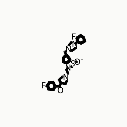 O=C(c1ccc(F)cc1)C1CCN(CCN2C[S+]([O-])c3cc(CN4CCN(c5ccccc5F)CC4)ccc32)CC1